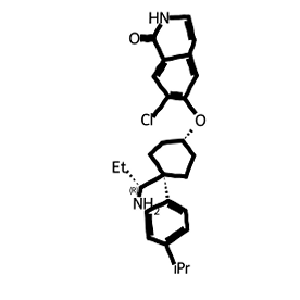 CC[C@@H](N)[C@]1(c2ccc(C(C)C)cc2)CC[C@@H](Oc2cc3cc[nH]c(=O)c3cc2Cl)CC1